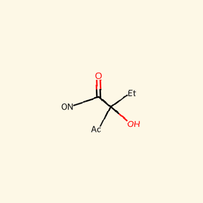 CCC(O)(C(C)=O)C(=O)N=O